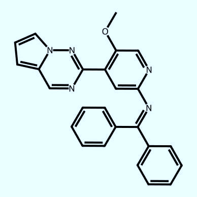 COc1cnc(N=C(c2ccccc2)c2ccccc2)cc1-c1ncc2cccn2n1